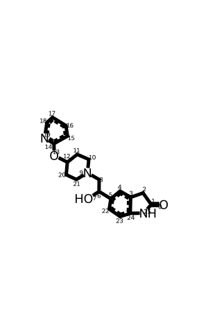 O=C1Cc2cc(C(O)CN3CCC(Oc4ccccn4)CC3)ccc2N1